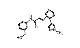 Cn1cc(-c2ccncc2C=CC(=O)Nc2cccc(CO)c2)cn1